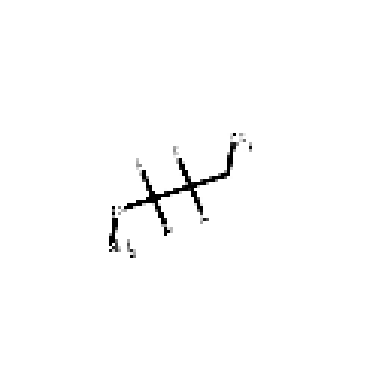 FC(F)(F)CC(F)(F)C(F)(F)O[SiH3]